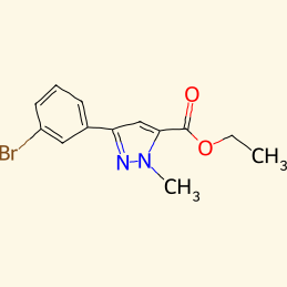 CCOC(=O)c1cc(-c2cccc(Br)c2)nn1C